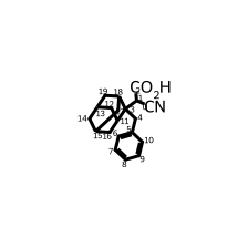 N#CC(C(=O)O)C1(Cc2ccccc2)C2CC3CC(C2)CC1C3